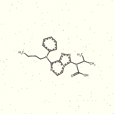 CCCCN(c1ccccc1)c1nccn2c(N(C(=O)O)C(C)C)nnc12